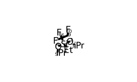 CC[Si](OC(C)C)(OC(C)C)C(F)(F)CF